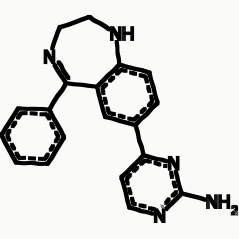 Nc1nccc(-c2ccc3c(c2)C(c2ccccc2)=NCCN3)n1